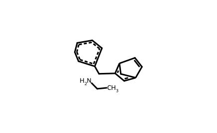 C1=CC2=C(Cc3ccccc3)C=C1C2.CCN